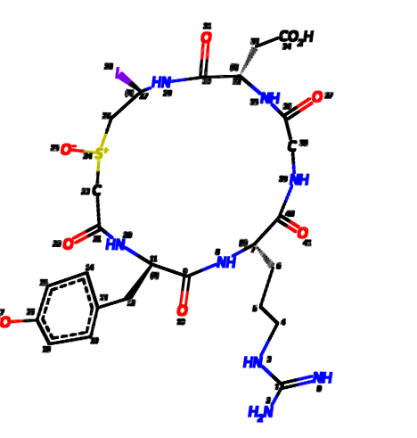 N=C(N)NCCC[C@@H]1NC(=O)[C@@H](Cc2ccc(O)cc2)NC(=O)C[S+]([O-])C[C@@H](I)NC(=O)[C@H](CC(=O)O)NC(=O)CNC1=O